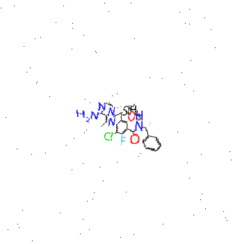 Cc1nc([C@@](C)([SiH3])c2cc(Cl)c(F)c(C(=O)N[C@H](C)c3ccccc3)c2OC(C)C)n2ccnc(N)c12